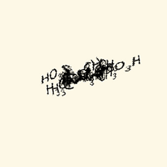 C=CC(=O)N(CCC[N+](C)(C)C(C)CCS(=O)(=O)O)CCC[N+](C)(C)C(C)CCS(=O)(=O)O